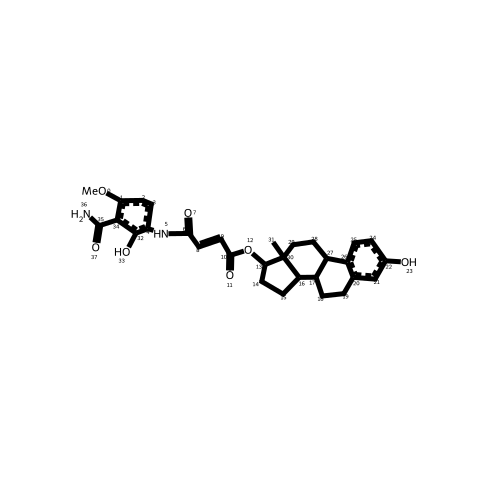 COc1ccc(NC(=O)/C=C/C(=O)OC2CCC3C4CCc5cc(O)ccc5C4CCC23C)c(O)c1C(N)=O